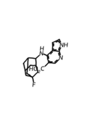 O=C(O)c1cnc2[nH]ccc2c1NC1C2CC3CC1CC(F)(C3)C2